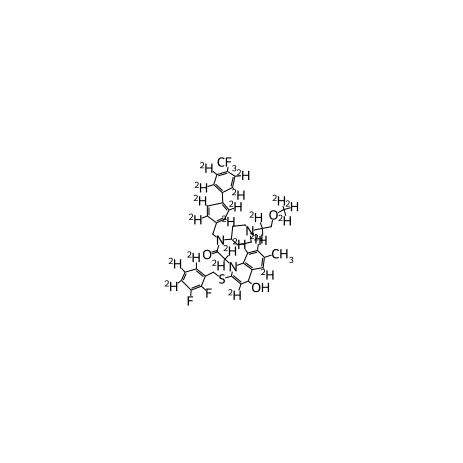 [2H]C1=C(SCc2c([2H])c([2H])c([2H])c(F)c2F)N(C([2H])([2H])C(=O)N(Cc2c([2H])c([2H])c(-c3c([2H])c([2H])c(C(F)(F)F)c([2H])c3[2H])c([2H])c2[2H])C2CCN(C([2H])([2H])COC([2H])([2H])[2H])CC2)c2c([2H])c([2H])c(C)c([2H])c2C1O